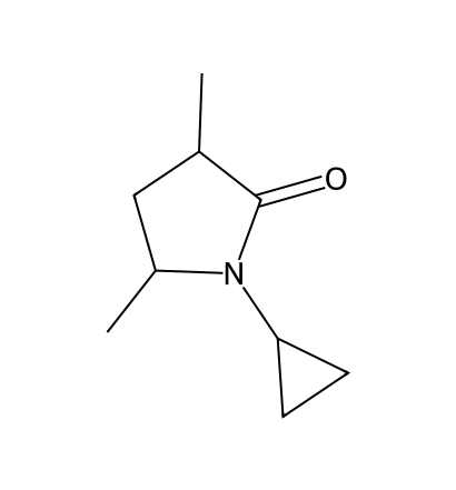 CC1CC(C)N(C2CC2)C1=O